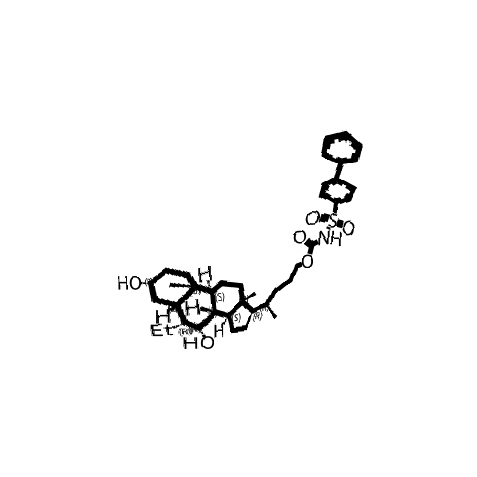 CC[C@H]1[C@@H](O)[C@@H]2[C@H](CC[C@]3(C)[C@@H]([C@H](C)CCCOC(=O)NS(=O)(=O)c4ccc(-c5ccccc5)cc4)CC[C@@H]23)[C@@]2(C)CC[C@@H](O)C[C@@H]12